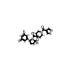 O=C(c1cnsc1)N1CCC2(CC1)O[C@@H]1CC[C@@H](c3cc(F)cc(F)c3)N1C2=O